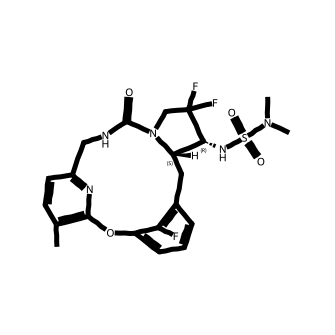 Cc1ccc2nc1Oc1cccc(c1F)C[C@H]1[C@@H](NS(=O)(=O)N(C)C)C(F)(F)CN1C(=O)NC2